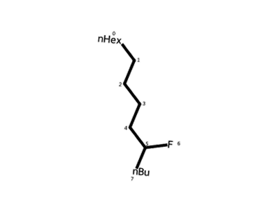 CCCCCCCCCC[C](F)CCCC